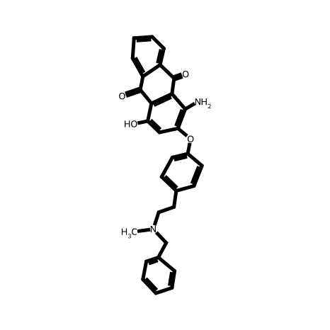 CN(CCc1ccc(Oc2cc(O)c3c(c2N)C(=O)c2ccccc2C3=O)cc1)Cc1ccccc1